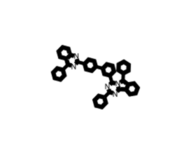 c1ccc(-c2nc(-c3cccc(-c4ccc(-c5nc(-c6ccccc6)c6ccccc6n5)cc4)c3)n3c(-c4ccccc4)c4ccccc4c3n2)cc1